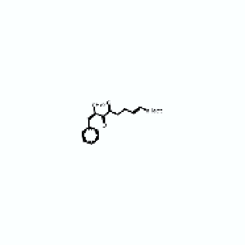 CCCCCCCC=CCCC(=O)C(=O)C(=Cc1ccccc1)CCCCCC